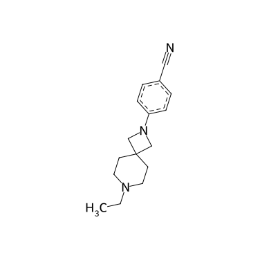 CCN1CCC2(CC1)CN(c1ccc(C#N)cc1)C2